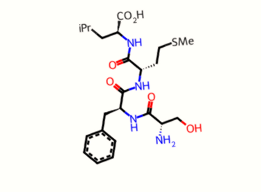 CSCC[C@H](NC(=O)[C@H](Cc1ccccc1)NC(=O)[C@@H](N)CO)C(=O)N[C@@H](CC(C)C)C(=O)O